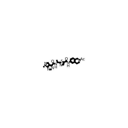 CC(=O)N1CCc2cc(NC(=O)c3cnc(C(C)NC(=O)c4ncnc5c4cnn5C)s3)ccc2C1